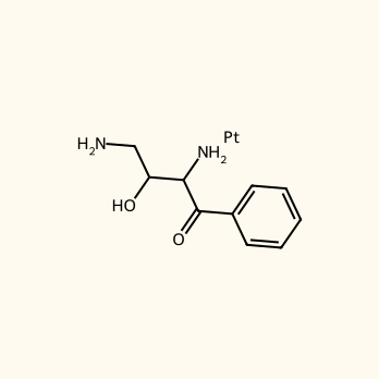 NCC(O)C(N)C(=O)c1ccccc1.[Pt]